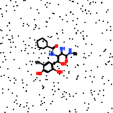 CCNC(=O)C(=N)/C(NC(=O)C1CCCCC1)=C(\O)c1cc(C(C)C)c(O)cc1O